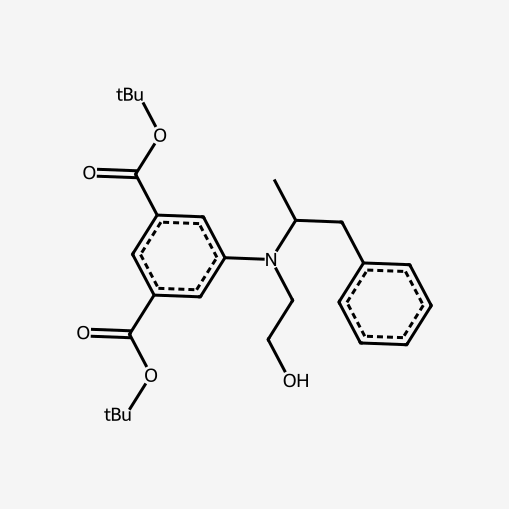 CC(Cc1ccccc1)N(CCO)c1cc(C(=O)OC(C)(C)C)cc(C(=O)OC(C)(C)C)c1